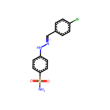 NS(=O)(=O)c1ccc(N/N=C/c2ccc(Br)cc2)cc1